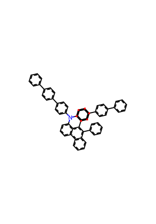 c1ccc(-c2ccc(-c3ccc(N(c4ccc(-c5ccc(-c6ccccc6)cc5)cc4)c4cccc5c4c(-c4ccccc4)c(-c4ccccc4)c4ccccc45)cc3)cc2)cc1